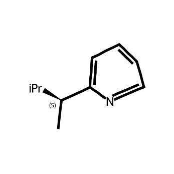 CC(C)[C@H](C)c1ccccn1